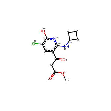 CC(C)(C)OC(=O)CC(=O)c1cc(Cl)c(O)nc1NC1CCC1